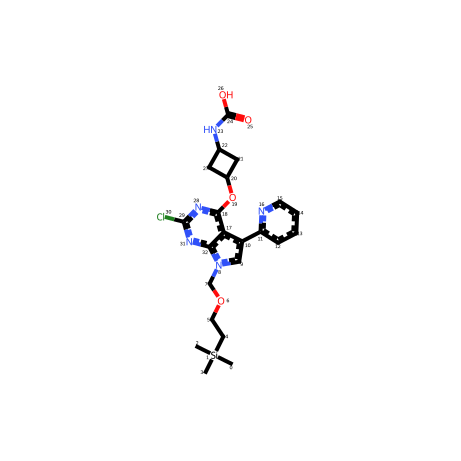 C[Si](C)(C)CCOCn1cc(-c2ccccn2)c2c(OC3CC(NC(=O)O)C3)nc(Cl)nc21